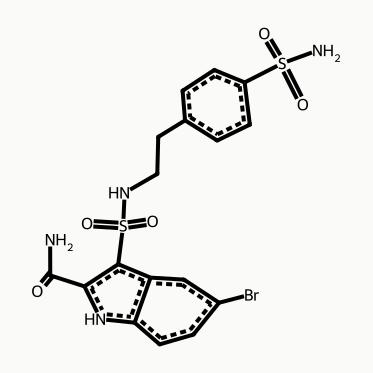 NC(=O)c1[nH]c2ccc(Br)cc2c1S(=O)(=O)NCCc1ccc(S(N)(=O)=O)cc1